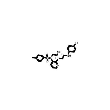 Cc1ccc(S(=O)(=O)N(CCN)c2cccnc2NCCNc2ccc(Cl)cc2)cc1